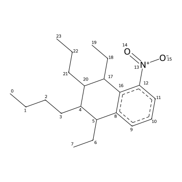 CCCCC1C(CC)c2cccc([N+](=O)[O-])c2C(CC)C1CCC